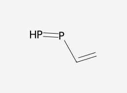 C=CP=P